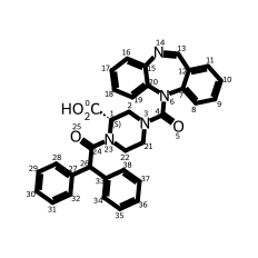 O=C(O)[C@@H]1CN(C(=O)N2c3ccccc3C=Nc3ccccc32)CCN1C(=O)C(c1ccccc1)c1ccccc1